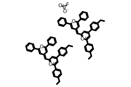 CCc1ccc(-c2cc(C=C3C=C(c4ccccc4)OC(c4ccccc4)=C3)[o+]c(-c3ccc(CC)cc3)c2)cc1.CCc1ccc(-c2cc(C=C3C=C(c4ccccc4)OC(c4ccccc4)=C3)[o+]c(-c3ccc(CC)cc3)c2)cc1.[O-]B([O-])F